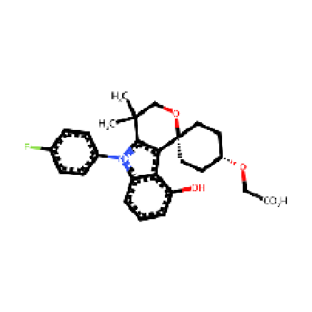 CC1(C)CO[C@]2(CC[C@@H](OCC(=O)O)CC2)c2c1n(-c1ccc(F)cc1)c1cccc(O)c12